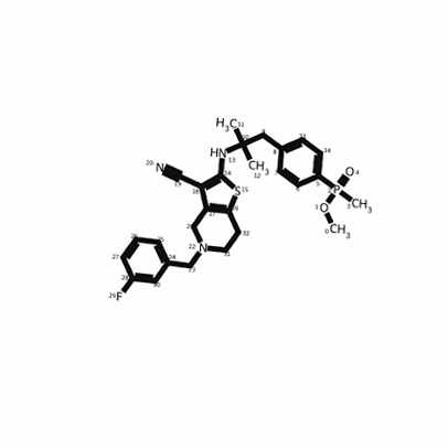 COP(C)(=O)c1ccc(CC(C)(C)Nc2sc3c(c2C#N)CN(Cc2cccc(F)c2)CC3)cc1